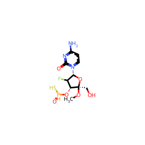 CO[C@]1(CO)O[C@@H](n2ccc(N)nc2=O)C(F)[C@H]1O[PH](=O)S